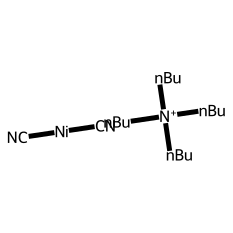 CCCC[N+](CCCC)(CCCC)CCCC.N#[C][Ni][C]#N